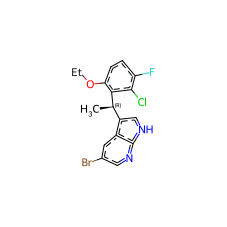 CCOc1ccc(F)c(Cl)c1[C@H](C)c1c[nH]c2ncc(Br)cc12